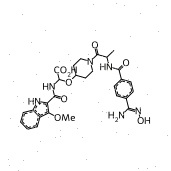 COc1c(C(=O)NC(OC2CCN(C(=O)C(C)NC(=O)c3ccc(/C(N)=N/O)cc3)CC2)C(=O)O)[nH]c2ccccc12